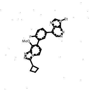 CCn1cnc2c(-c3ccc(F)c(-c4ccn5c(C6CCC6)nnc5c4OC)c3)cnnc21